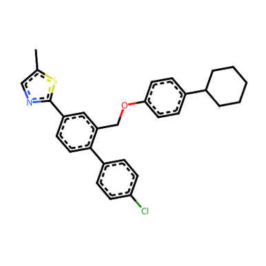 Cc1cnc(-c2ccc(-c3ccc(Cl)cc3)c(COc3ccc(C4[CH]CCCC4)cc3)c2)s1